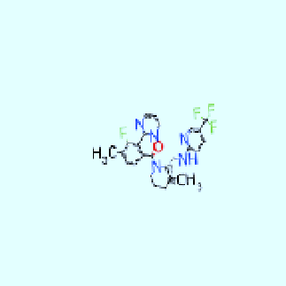 Cc1ccc(C(=O)N2CCC[C@@H](C)[C@H]2CNc2ccc(C(F)(F)F)cn2)c(-c2ncccn2)c1F